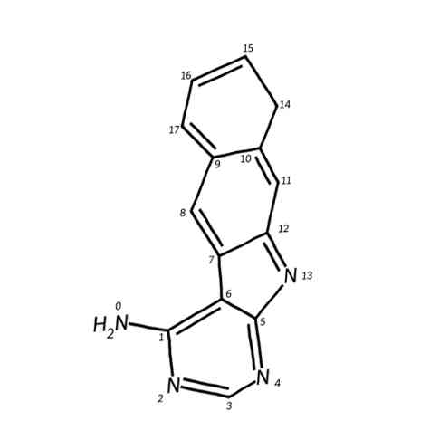 Nc1ncnc2c1-c1cc3c(cc1=N2)CC=CC=3